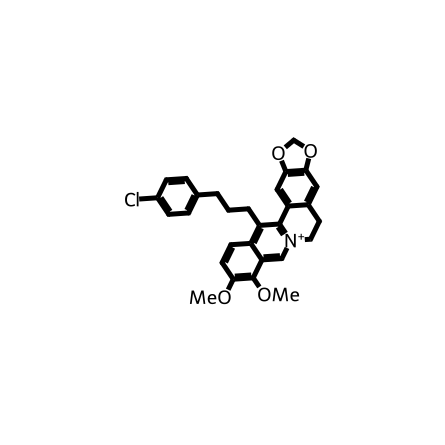 COc1ccc2c(CCCc3ccc(Cl)cc3)c3[n+](cc2c1OC)CCc1cc2c(cc1-3)OCO2